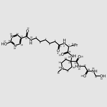 CC(C)[C@H](NC(=O)CCCCCNC(=O)c1cnc(O)nc1)C(=O)NC1(C(=O)NCC(=O)NCO)CCN(C)CC1